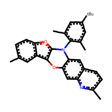 Cc1ccc2oc3c(c2c1)Oc1cc2nc(C)ccc2cc1N3c1c(C)cc(C(C)(C)C)cc1C